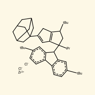 CC(C)C1(C2c3cc(C(C)(C)C)ccc3-c3ccc(C(C)(C)C)cc32)CC(C(C)(C)C)C2=C1C=C(C13CC4CC(CC(C4)C1)C3)C2.[Cl-].[Cl-].[Zr+2]